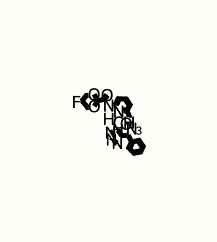 Cn1nnnc1/C(=N\OCc1cccc(NC(=O)C2OCC(F)CO2)n1)c1ccccc1